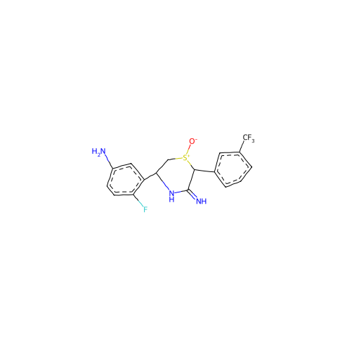 N=C1NC(c2cc(N)ccc2F)C[S+]([O-])C1c1cccc(C(F)(F)F)c1